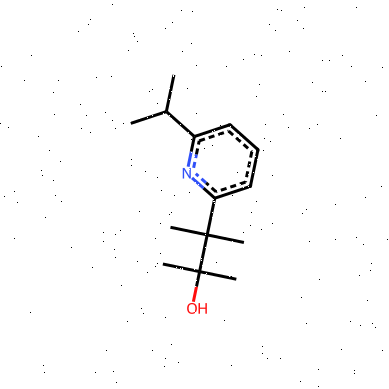 CC(C)c1cccc(C(C)(C)C(C)(C)O)n1